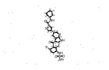 CCCS(=O)(=O)Nc1ccc(F)c(C(=O)c2c[nH]c3ncc(-c4cnn(C(=O)Nc5ccccc5)c4)cc23)c1F